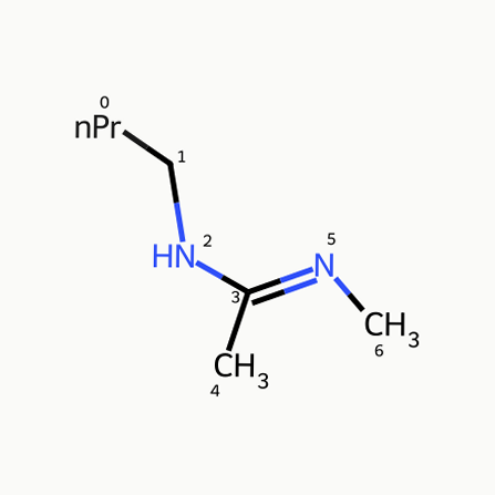 CCCCNC(C)=NC